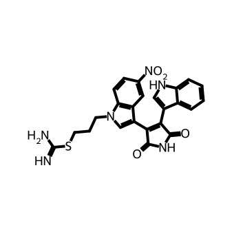 N=C(N)SCCCn1cc(C2=C(c3c[nH]c4ccccc34)C(=O)NC2=O)c2cc([N+](=O)[O-])ccc21